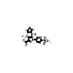 Cc1c(C(F)F)nn(-c2ccc(S(C)(=O)=O)nc2)c1NC1CCCC1